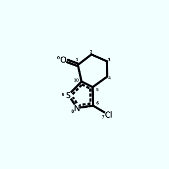 O=C1CCCc2c(Cl)nsc21